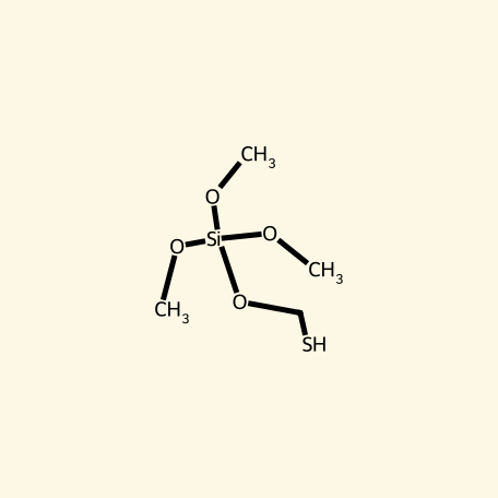 CO[Si](OC)(OC)OCS